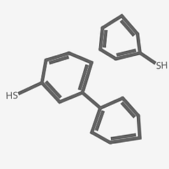 Sc1cccc(-c2ccccc2)c1.Sc1ccccc1